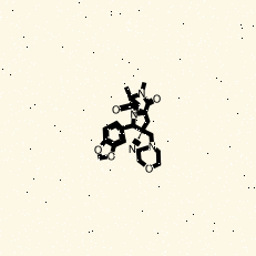 CN1C(=O)C23C[C@@](C#N)(CN4CCOCC4)C(c4ccc5c(c4)OCO5)N2C(=O)C1(C)SS3